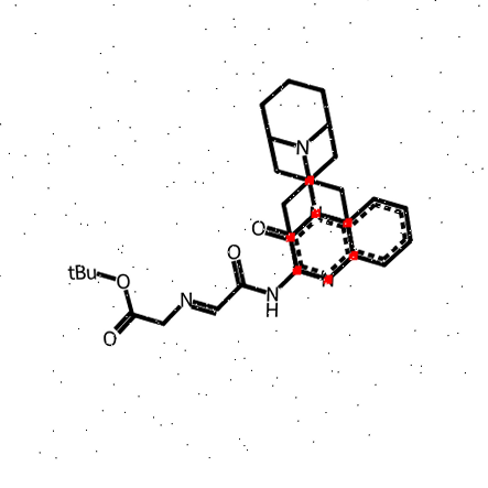 CC(C)(C)OC(=O)CN=CC(=O)Nc1nc2ccccc2n(C2CC3CCCC(C2)N3C2CC3CCCC(C3)C2)c1=O